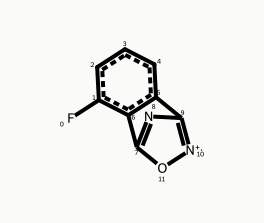 Fc1cccc2c1C1=NC2=[N+]O1